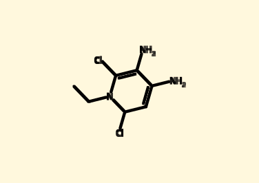 CCN1C(Cl)=C(N)C(N)=CC1Cl